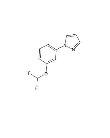 FC(F)Oc1cccc(-n2cccn2)c1